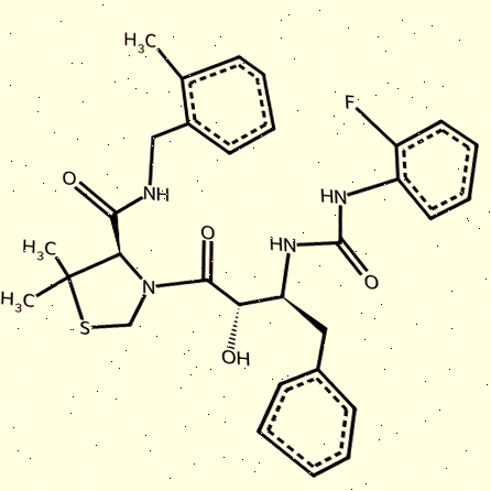 Cc1ccccc1CNC(=O)[C@H]1N(C(=O)[C@@H](O)[C@H](Cc2ccccc2)NC(=O)Nc2ccccc2F)CSC1(C)C